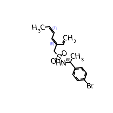 C=C/C(=C\C=C/C)CS(=O)(=O)N[C@@H](C)c1ccc(Br)cc1